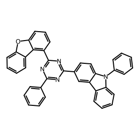 c1ccc(-c2nc(-c3ccc4c(c3)c3ccccc3n4-c3ccccc3)nc(-c3cccc4oc5ccccc5c34)n2)cc1